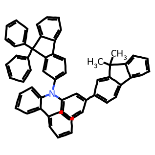 CC1(C)c2ccccc2-c2ccc(-c3cccc(N(c4ccc5c(c4)C(c4ccccc4)(c4ccccc4)c4ccccc4-5)c4ccccc4-c4ccccc4)c3)cc21